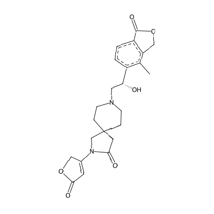 Cc1c([C@H](O)CN2CCC3(CC2)CC(=O)N(C2=CC(=O)OC2)C3)ccc2c1COC2=O